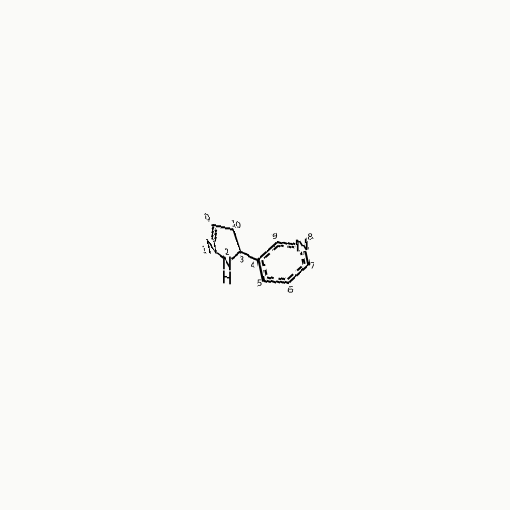 C1=NNC(c2cccnc2)C1